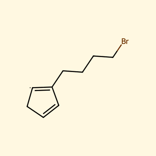 BrCCCCC1=[C]CC=C1